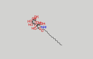 CCCCCCCCCCCCCCCCCC(=O)NC1O[C@H](CO)[C@@H](O[C@@H]2O[C@H](CO)[C@@H](O)[C@H](O)[C@@H]2O)[C@H](O)[C@@H]1O